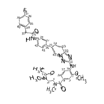 COc1cc(C(=O)N(C)CCN(C)C(C)=O)ccc1Nc1nc2ccc(-c3ccc(NC(=O)Cc4ccc(F)cc4)cc3)cn2n1